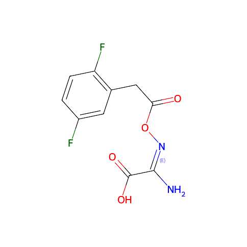 N/C(=N/OC(=O)Cc1cc(F)ccc1F)C(=O)O